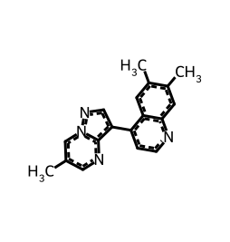 Cc1cnc2c(-c3ccnc4cc(C)c(C)cc34)cnn2c1